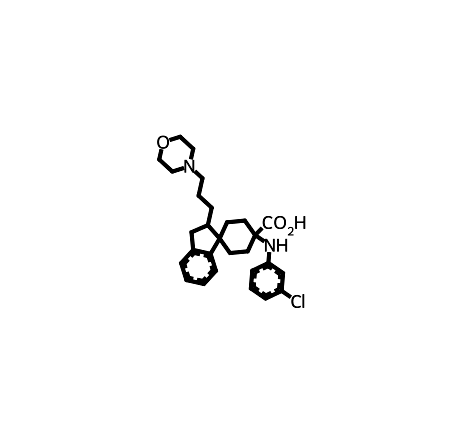 O=C(O)C1(Nc2cccc(Cl)c2)CCC2(CC1)c1ccccc1CC2CCCN1CCOCC1